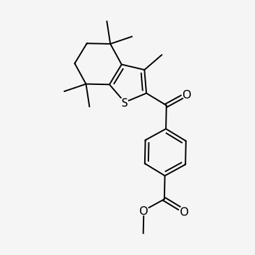 COC(=O)c1ccc(C(=O)c2sc3c(c2C)C(C)(C)CCC3(C)C)cc1